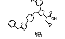 Cl.Cl.O=C(O)[C@@H](CC1CC1)C1CC(CN2CCC(c3cnc(Cc4ccccc4)s3)CC2)C(c2cccc(F)c2)C1